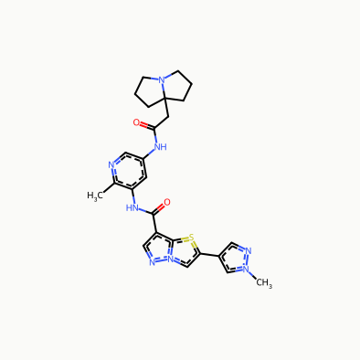 Cc1ncc(NC(=O)CC23CCCN2CCC3)cc1NC(=O)c1cnn2cc(-c3cnn(C)c3)sc12